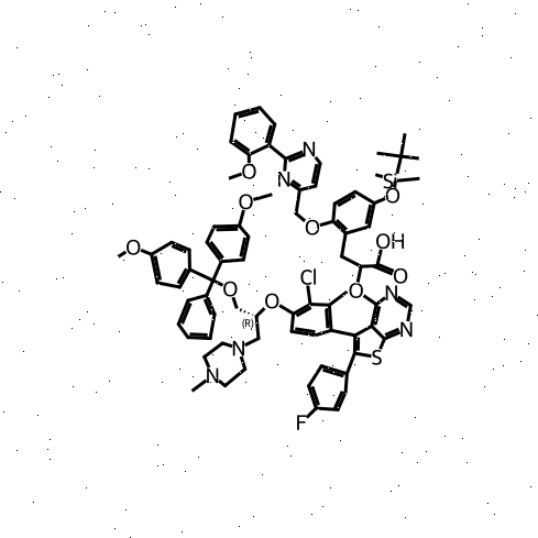 COc1ccc(C(OC[C@@H](CN2CCN(C)CC2)Oc2ccc(-c3c(-c4ccc(F)cc4)sc4ncnc(OC(Cc5cc(O[Si](C)(C)C(C)(C)C)ccc5OCc5ccnc(-c6ccccc6OC)n5)C(=O)O)c34)c(C)c2Cl)(c2ccccc2)c2ccc(OC)cc2)cc1